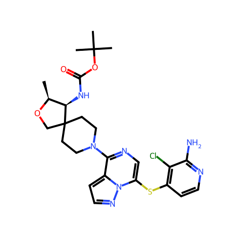 C[C@@H]1OCC2(CCN(c3ncc(Sc4ccnc(N)c4Cl)n4nccc34)CC2)[C@@H]1NC(=O)OC(C)(C)C